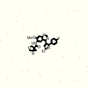 CCn1cc(-c2ncnc3cc(OC)c(NC(=O)C45COC[C@H]4C5)cc23)c(-c2ccc(F)cc2)n1